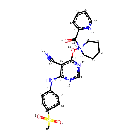 CS(=O)(=O)c1ccc(Nc2ncnc(O[N+]3(C(=O)c4ccccn4)CCCCC3)c2C#N)cc1